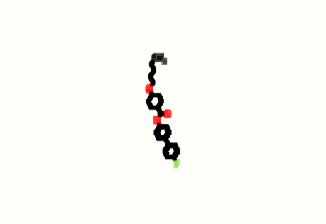 CCCCCOC1CCC(C(=O)Oc2ccc(-c3ccc(F)cc3)cc2)CC1